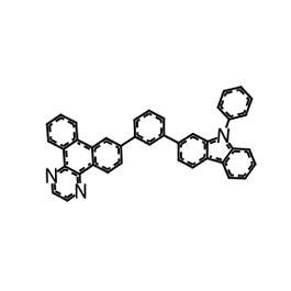 c1ccc(-n2c3ccccc3c3ccc(-c4cccc(-c5ccc6c(c5)c5ccccc5c5nccnc65)c4)cc32)cc1